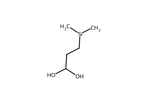 C[Si](C)CCC(O)O